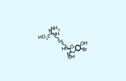 N/N=C(\NCCSSCCNC(=O)/C(Cc1ccc(O)c(Br)c1)=N/O)C(=O)O